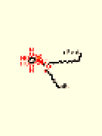 CCCC/C=C\CCCCCCCC(=O)OC[C@H](COP(=O)(O)OC1C(O)C(O)C(O)[C@@H](O)C1O)OC(=O)CCCCCCCCCCC/C=C\C/C=C\CCCCC